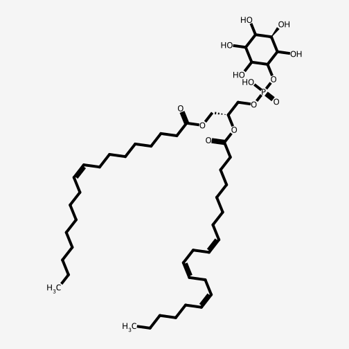 CCCCC/C=C\C/C=C\C/C=C\CCCCCCC(=O)O[C@H](COC(=O)CCCCCCC/C=C\CCCCCCCC)COP(=O)(O)OC1C(O)C(O)C(O)[C@@H](O)C1O